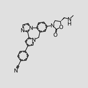 CNC[C@@H]1CN(c2ccc3c(c2)Cn2cc(-c4ccc(C#N)cc4)cc2-c2nccn2-3)C(=O)O1